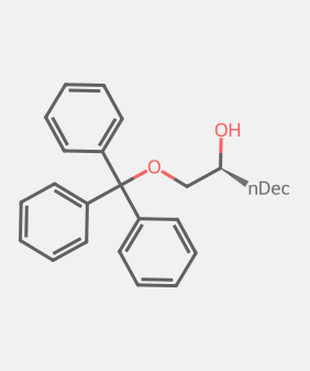 CCCCCCCCCC[C@H](O)COC(c1ccccc1)(c1ccccc1)c1ccccc1